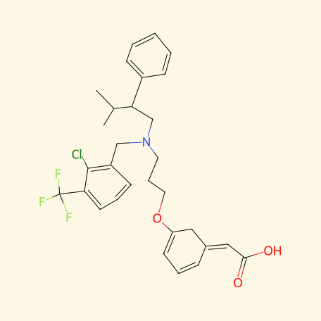 CC(C)C(CN(CCCOC1=CC=CC(=CC(=O)O)C1)Cc1cccc(C(F)(F)F)c1Cl)c1ccccc1